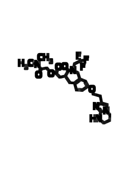 CN(C)C(=O)COC(=O)CC1Cc2ccc(OCCc3cn4c(n3)NCCC4)cc2CN(CC(F)(F)F)C1=O